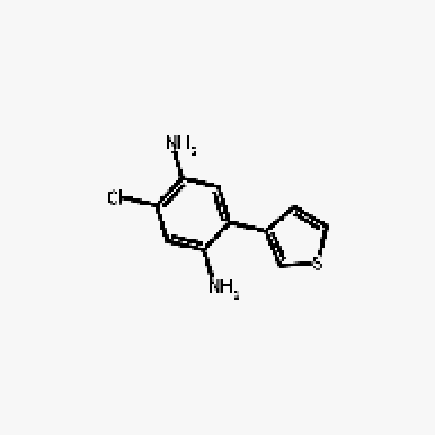 Nc1cc(-c2ccsc2)c(N)cc1Cl